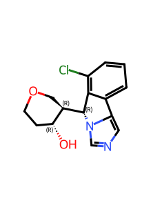 O[C@@H]1CCOC[C@H]1[C@@H]1c2c(Cl)cccc2-c2cncn21